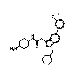 NC1CCC(NC(=O)Cc2cn(CC3CCCCC3)c3ccc(-c4cccc(OC(F)(F)F)c4)cc23)CC1